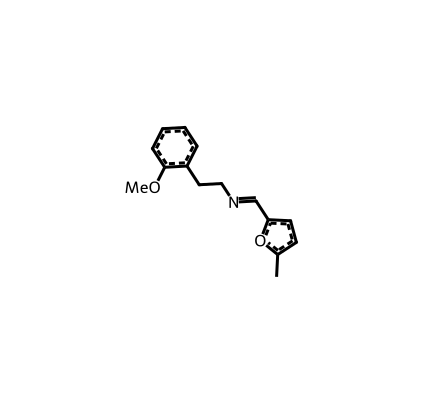 COc1ccccc1CCN=Cc1ccc(C)o1